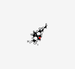 CC1(C(F)(F)F)OC(F)(F)C2(C(F)(F)O1)C(F)(F)OC(COCF)(C(F)(F)F)OC2(F)F